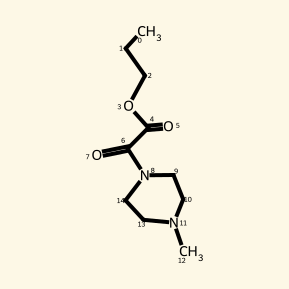 CCCOC(=O)C(=O)N1CCN(C)CC1